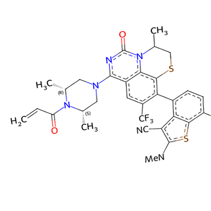 C=CC(=O)N1[C@H](C)CN(c2nc(=O)n3c4c(c(-c5ccc(F)c6sc(NC)c(C#N)c56)c(C(F)(F)F)cc24)SCC3C)C[C@@H]1C